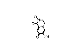 CCN1CCn2cc(O)c(=O)cc2C1=O